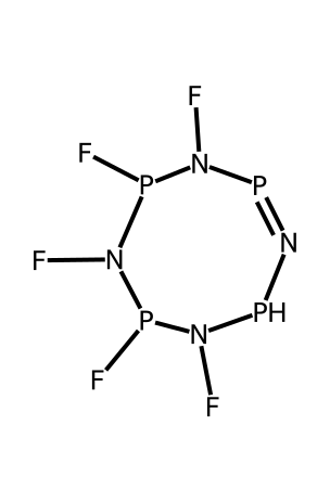 Fn1pn[pH]n(F)p(F)n(F)p1F